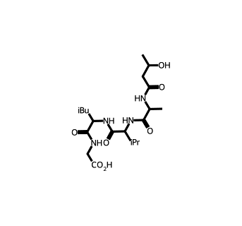 CCC(C)C(NC(=O)C(NC(=O)C(C)NC(=O)CC(C)O)C(C)C)C(=O)NCC(=O)O